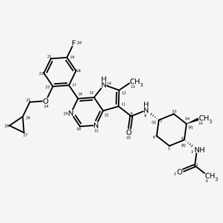 CC(=O)N[C@@H]1CC[C@H](NC(=O)c2c(C)[nH]c3c(-c4cc(F)ccc4OCC4CC4)ncnc23)C[C@H]1C